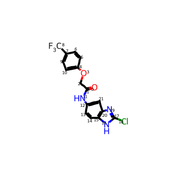 O=C(COc1ccc(C(F)(F)F)cc1)Nc1ccc2[nH]c(Cl)nc2c1